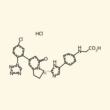 Cl.O=C(O)CNc1ccc(-c2cnc([C@@H]3CCc4cc(-c5cc(Cl)ccc5-n5cnnn5)cc(=O)n43)[nH]2)cc1